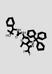 Cc1nc(NC(=O)NC(c2ccccc2)C(C)(C)O)cc2c1c(C(F)F)nn2C(c1ccccc1)(c1ccccc1)c1ccccc1